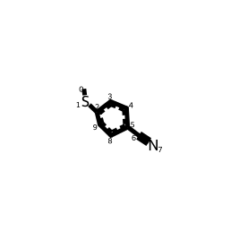 CSc1ccc(C#N)cc1